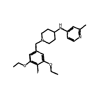 CCOc1cc(CN2CCC(Nc3ccnc(C)c3)CC2)cc(OCC)c1F